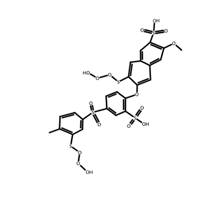 COc1cc2cc(Oc3ccc(S(=O)(=O)c4ccc(C)c(SOOO)c4)cc3S(=O)(=O)O)c(SOOO)cc2cc1S(=O)(=O)O